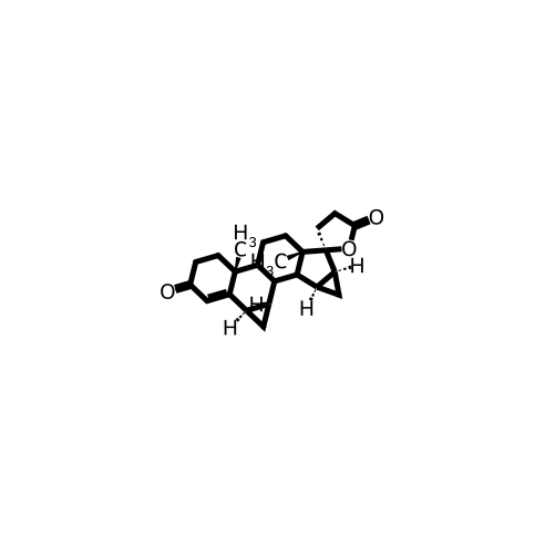 C[C@]12CCC(=O)C=C1[C@@H]1C[C@@H]1C1C2CC[C@@]2(C)C1[C@@H]1C[C@@H]1[C@@]21CCC(=O)O1